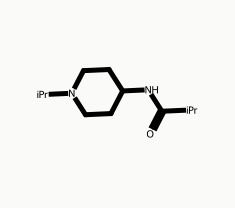 CC(C)C(=O)NC1CCN(C(C)C)CC1